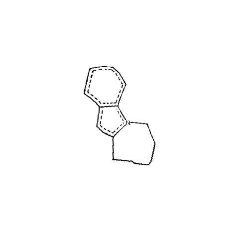 c1ccc2c(c1)cc1n2CCCCC1